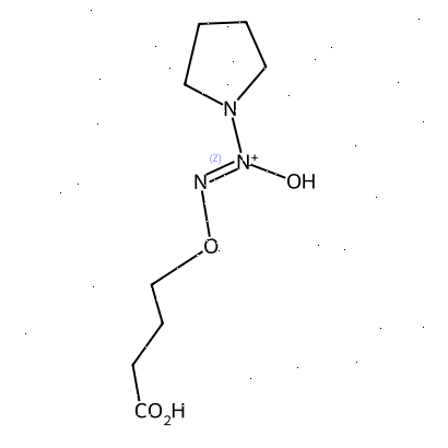 O=C(O)CCCO/N=[N+](\O)N1CCCC1